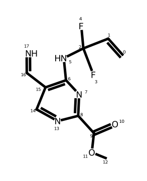 C=CC(F)(F)Nc1nc(C(=O)OC)ncc1C=N